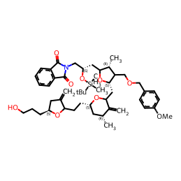 C=C1C[C@H](CCCO)OC1CC[C@H]1C[C@@H](C)C(=C)C(C[C@@H]2OC(C[C@@H](CN3C(=O)c4ccccc4C3=O)O[Si](C)(C)C(C)(C)C)[C@H](C)C2COCc2ccc(OC)cc2)O1